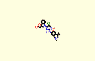 COc1cc2c(cc1Nc1ncc(Cl)c(N3CC4(CC(=O)O4)c4ccccc43)n1)CN(C)CC21CC1